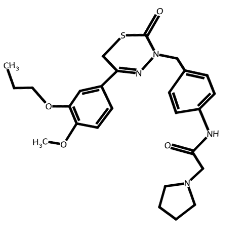 CCCOc1cc(C2=NN(Cc3ccc(NC(=O)CN4CCCC4)cc3)C(=O)SC2)ccc1OC